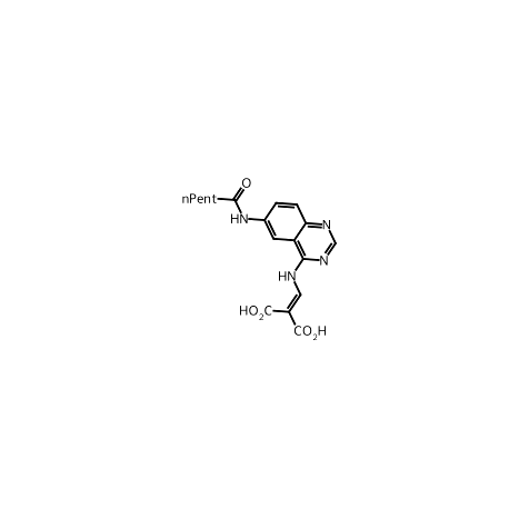 CCCCCC(=O)Nc1ccc2ncnc(NC=C(C(=O)O)C(=O)O)c2c1